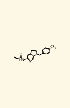 C=CC(=O)Nc1cc2ccn(Cc3ccc(C(F)(F)F)cc3)c2cn1